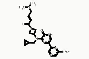 CNc1cncc(-c2c[nH]c(=O)c(N(CC3CC3)C3CN(C(=O)C=CCN(C)C)C3)n2)n1